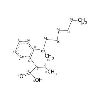 CC=C(C(=O)O)c1ccccc1C(C)CCCCCC